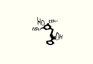 CC(C)(C)c1cc(CCC(O)c2ccccc2)cc(C(C)(C)C)c1O